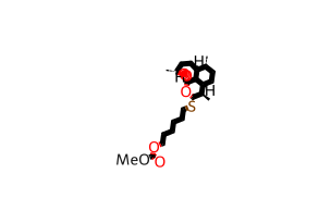 COC(=O)OCCCCCCS[C@@H]1O[C@@H]2O[C@]3(C)CC[C@H]4[C@H](C)CC[C@@H]([C@H]1C)[C@@]24OO3